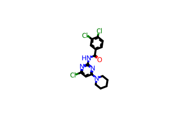 O=C(Nc1nc(Cl)cc(N2CCCCC2)n1)c1ccc(Cl)c(Cl)c1